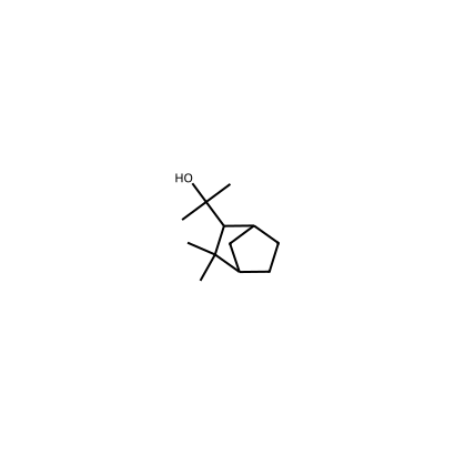 CC(C)(O)C1C2CCC(C2)C1(C)C